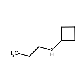 CCCPC1CCC1